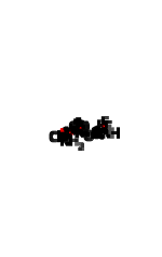 Cc1cc(OCCN(C[C@H](O)c2ccc(Cl)c(N)c2)C(=O)OC(C)(C)C)ccc1C(=N)C(F)(F)F